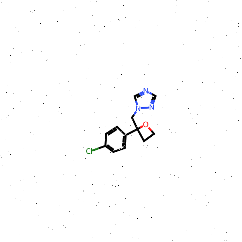 Clc1ccc(C2(Cn3cncn3)CCO2)cc1